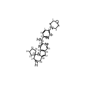 c1cc(N2CCOCC2)nnc1Nc1ncc2cc3n(c2n1)C1(CCCC1)CNC3